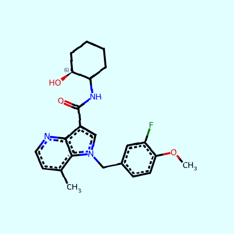 COc1ccc(Cn2cc(C(=O)NC3CCCC[C@@H]3O)c3nccc(C)c32)cc1F